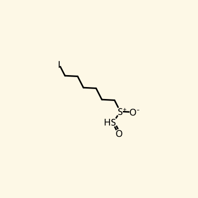 O=[SH][S+]([O-])CCCCCCI